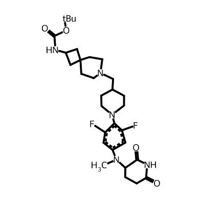 CN(c1cc(F)c(N2CCC(CN3CCC4(CC3)CC(NC(=O)OC(C)(C)C)C4)CC2)c(F)c1)C1CCC(=O)NC1=O